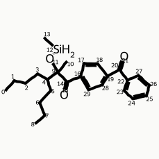 CCCCC(CCCC)C(C)(O[SiH2]C)C(=O)c1ccc(C(=O)c2ccccc2)cc1